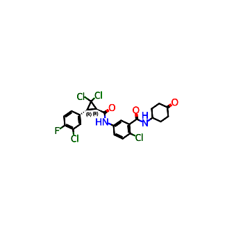 O=C1CCC(NC(=O)c2cc(NC(=O)[C@H]3[C@H](c4ccc(F)c(Cl)c4)C3(Cl)Cl)ccc2Cl)CC1